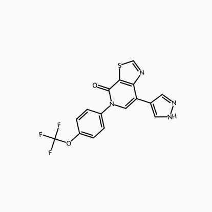 O=c1c2scnc2c(-c2cn[nH]c2)cn1-c1ccc(OC(F)(F)F)cc1